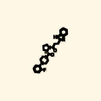 O=C([C@@H]1CCCN1C(=O)CCc1nc2ccccc2[nH]1)N1CCN(c2ccccc2F)CC1